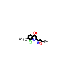 COc1ccc2c(O)cc(-c3cc(C(C)C)on3)nc2c1Cl